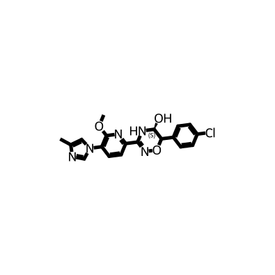 COc1nc(C2=NOC(c3ccc(Cl)cc3)[C@H](O)N2)ccc1-n1cnc(C)c1